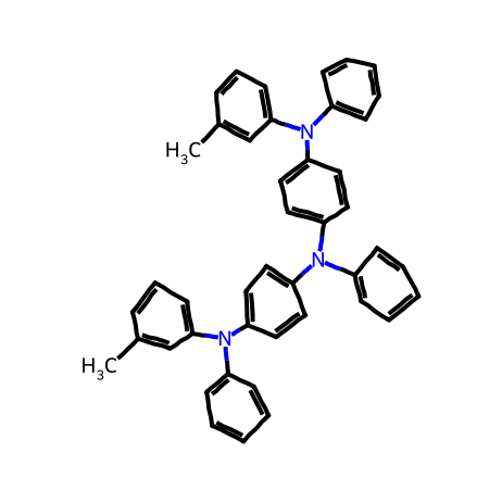 Cc1cccc(N(c2ccccc2)c2ccc(N(c3ccccc3)c3ccc(N(c4ccccc4)c4cccc(C)c4)cc3)cc2)c1